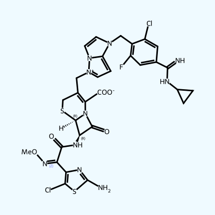 CO/N=C(\C(=O)N[C@@H]1C(=O)N2C(C(=O)[O-])=C(C[n+]3ccc4n(Cc5c(F)cc(C(=N)NC6CC6)cc5Cl)ccn43)CS[C@H]12)c1nc(N)sc1Cl